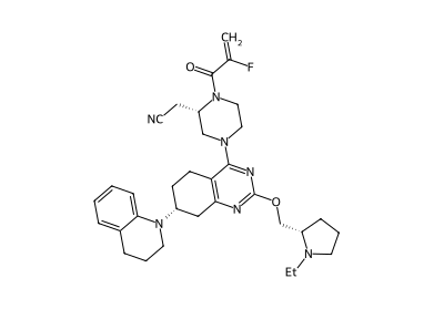 C=C(F)C(=O)N1CCN(c2nc(OC[C@@H]3CCCN3CC)nc3c2CC[C@@H](N2CCCc4ccccc42)C3)C[C@@H]1CC#N